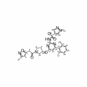 Cc1cc(CC(=O)N2CCC(Oc3cc(-c4c(C)cccc4C)nc(NS(=O)(=O)c4cnn(C)c4)n3)C2)on1